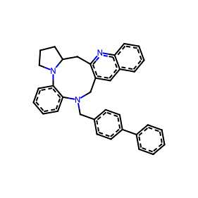 c1ccc(-c2ccc(CN3Cc4cc5ccccc5nc4CC4CCCN4c4ccccc43)cc2)cc1